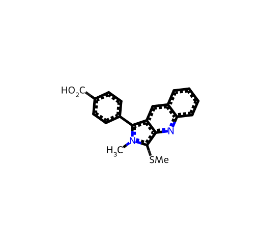 CSc1c2nc3ccccc3cc2c(-c2ccc(C(=O)O)cc2)n1C